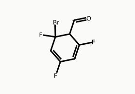 O=[C]C1C(F)=CC(F)=CC1(F)Br